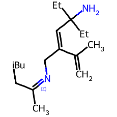 C=C(C)C(=CC(N)(CC)CC)C/N=C(/C)CC(C)CC